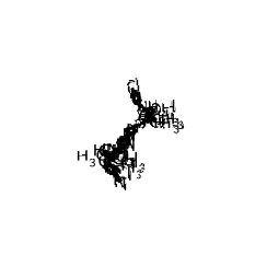 CC(C)(C)C(NC(=O)COCCN1CCN(c2ccc(C(=O)N[C@H]3C(C)(C)[C@H](Oc4ccc(C#N)c(Cl)c4)C3(C)C)cn2)CC1)C(=O)N1C[C@H](O)C[C@H]1C(=O)NCc1ccc(Cl)cc1